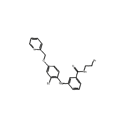 CCc1cc(OCc2ccccn2)ccc1Nc1cccc(C(=O)NCCC(C)C)c1